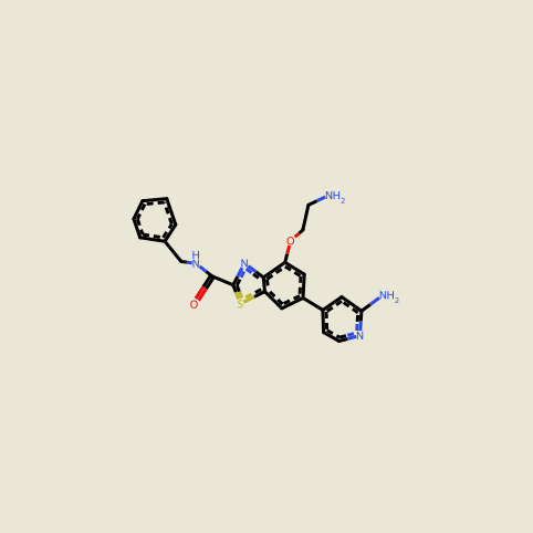 NCCOc1cc(-c2ccnc(N)c2)cc2sc(C(=O)NCc3ccccc3)nc12